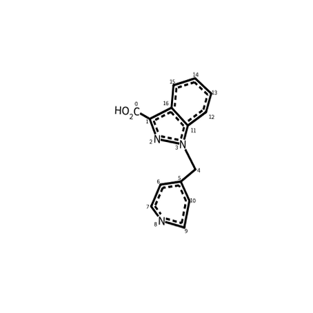 O=C(O)c1nn(Cc2ccncc2)c2ccccc12